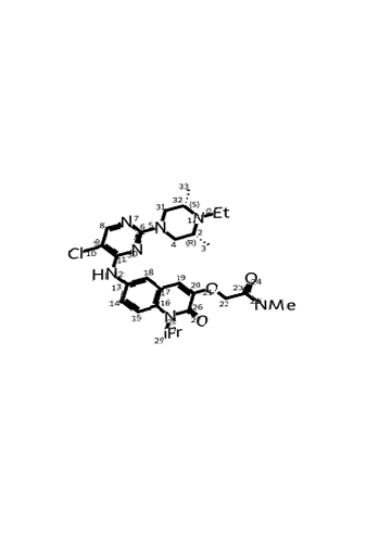 CCN1[C@H](C)CN(c2ncc(Cl)c(Nc3ccc4c(c3)cc(OCC(=O)NC)c(=O)n4C(C)C)n2)C[C@@H]1C